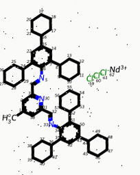 Cc1cc(C=Nc2c(C3CCCCC3)cc(C3CCCCC3)cc2C2CCCCC2)nc(C=Nc2c(C3CCCCC3)cc(C3CCCCC3)cc2C2CCCCC2)c1.[Cl-].[Cl-].[Cl-].[Nd+3]